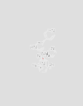 NC1C[C@H]2CC[C@@H](C1)N2c1nc2[nH]cc(-c3ccncc3)c2c2nccn12